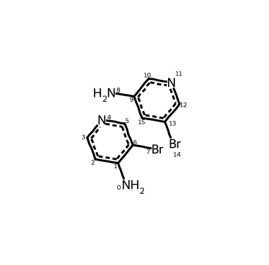 Nc1ccncc1Br.Nc1cncc(Br)c1